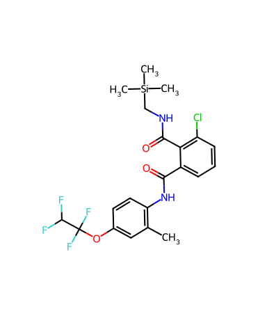 Cc1cc(OC(F)(F)C(F)F)ccc1NC(=O)c1cccc(Cl)c1C(=O)NC[Si](C)(C)C